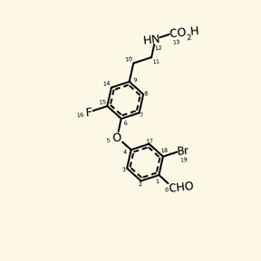 O=Cc1ccc(Oc2ccc(CCNC(=O)O)cc2F)cc1Br